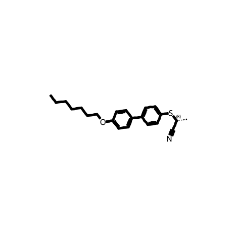 CCCCCCCOc1ccc(-c2ccc(S[C@H](C)C#N)cc2)cc1